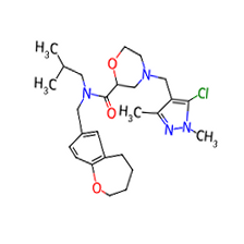 Cc1nn(C)c(Cl)c1CN1CCOC(C(=O)N(Cc2ccc3c(c2)CCCCO3)CC(C)C)C1